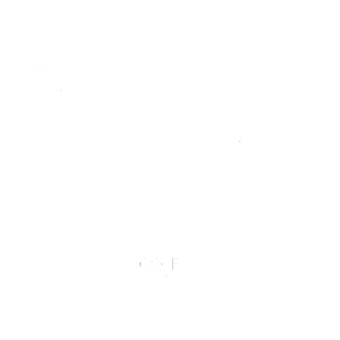 CCOC(=O)/C(C)=C(/C1=CCC(=C=O)C=C1)c1ccc2c(c1)C(C)(C)C(C)C2(C)C